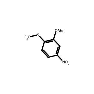 COc1cc([N+](=O)[O-])ccc1SC(F)(F)F